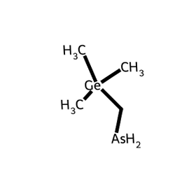 [CH3][Ge]([CH3])([CH3])[CH2][AsH2]